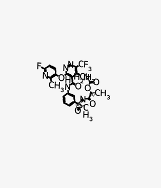 Cc1nc(F)ccc1Oc1nnc(C(F)(F)F)c(C)c1C(=O)Nc1cccc([S@@](C)(=O)=NC(=O)[C@@H](C)OC(N)=O)c1